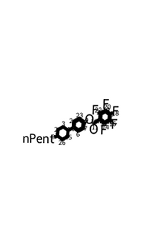 CCCCCC1CCC(c2ccc(OC(=O)c3c(F)c(F)c(F)c(F)c3F)cc2)CC1